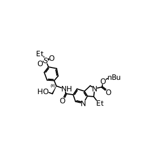 CCCCOC(=O)N1Cc2cc(C(=O)N[C@@H](CO)c3ccc(S(=O)(=O)CC)cc3)cnc2C1CC